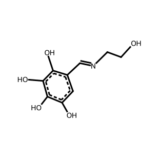 OCCN=Cc1cc(O)c(O)c(O)c1O